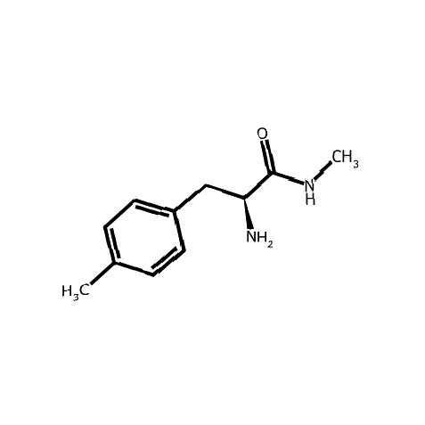 CNC(=O)[C@@H](N)Cc1ccc(C)cc1